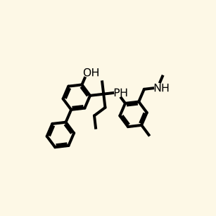 CCCC(C)(Pc1ccc(C)cc1CNC)c1cc(-c2ccccc2)ccc1O